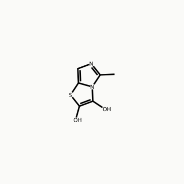 Cc1ncc2sc(O)c(O)n12